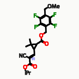 COCc1c(F)c(F)c(COC(=O)C2C(/C=C(\C#N)C(=O)OC(C)C)C2(C)C)c(F)c1F